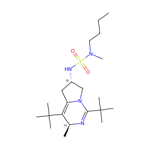 CCCCN(C)S(=O)(=O)N[C@H]1CC2=C(C(C)(C)C)[C@H](C)N=C(C(C)(C)C)N2C1